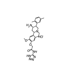 COc1cc2c(cc1OCC(=O)Nc1nnn[nH]1)CCN1CC(c3cc(C)ccc3C)C(N)CC21.Cl